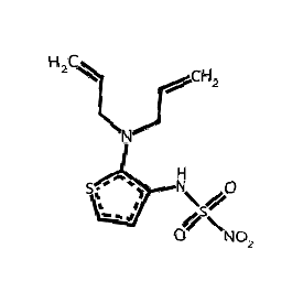 C=CCN(CC=C)c1sccc1NS(=O)(=O)[N+](=O)[O-]